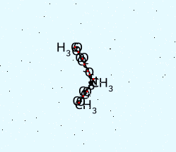 CC(=O)OCCCOC(=O)OCCCSCCOCCSCN(C)CSCCCOC(=O)OCCCOC(C)=O